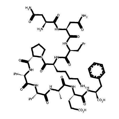 CC(C)C[C@H](NC(=O)[C@H](CC(N)=O)NC(=O)[C@@H](N)CC(N)=O)C(=O)N[C@@H](CCCCN)C(=O)N1CCC[C@H]1C(=O)N[C@H](C(=O)N[C@H](C(=O)N[C@@H](C)C(=O)N[C@@H](CCC(=O)O)C(=O)N[C@@H](Cc1ccccc1)C(=O)O)C(C)C)C(C)C